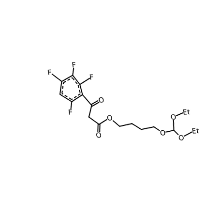 CCOC(OCC)OCCCCOC(=O)CC(=O)c1c(F)cc(F)c(F)c1F